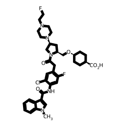 Cn1cc(C(=O)Nc2cc(F)c(CC(=O)N3C[C@@H](N4CCN(CCF)CC4)C[C@H]3CO[C@H]3CC[C@H](C(=O)O)CC3)cc2Cl)c2ccccc21